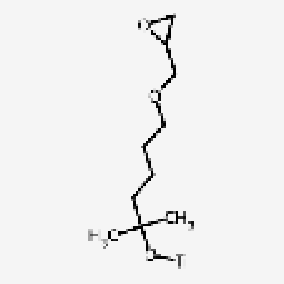 CC(C)(CCCCOCC1CO1)[O][Ti]